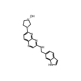 O[C@H]1CCN(c2ccc3ncc(NCc4ccc5cc[nH]c5c4)nc3n2)C1